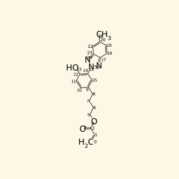 C=CC(=O)OCCCCc1ccc(O)c(-n2nc3ccc(C)cc3n2)c1